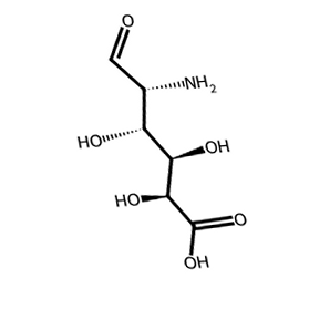 N[C@@H](C=O)[C@@H](O)[C@@H](O)[C@H](O)C(=O)O